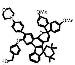 COc1ccc(C2(c3ccc(OC)cc3)C=Cc3c4c(c5cc(Oc6ccc(CO)cc6)c(-c6ccc(N7CCOCC7)cc6)cc5c3O2)-c2ccccc2C42CC(C)(C)CC(C)(C)C2)cc1